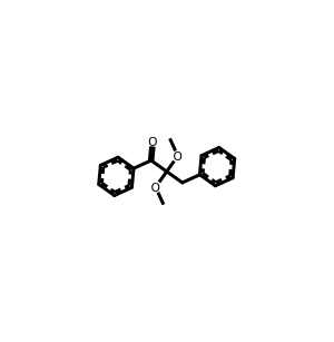 COC(Cc1ccccc1)(OC)C(=O)c1ccccc1